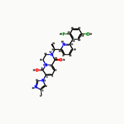 Cc1cn(-c2ccc3n(c2=O)CCN([C@@H](C)c2cccc(-c4cc(Cl)ccc4F)n2)C3=O)cn1